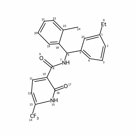 CCc1cccc(C(NC(=O)c2ccc(C(F)(F)F)[nH]c2=O)c2ccccc2C)c1